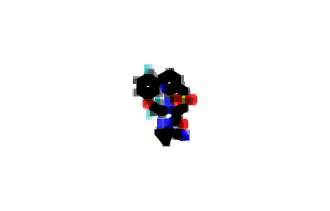 N#CC1(NC(=O)C(CS(=O)(=O)Cc2cccnc2)NCC(F)(F)Oc2ccc(F)cc2)CC1